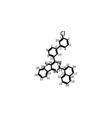 Clc1cccc(-c2cccc(-c3nc(-c4cccc5ccccc45)nc4c3sc3ccccc34)c2)c1